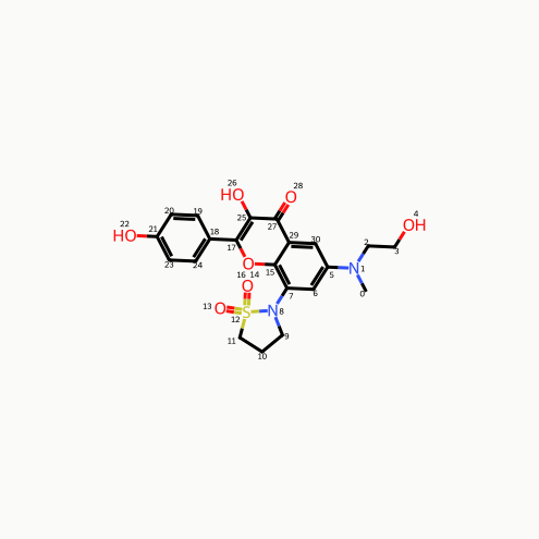 CN(CCO)c1cc(N2CCCS2(=O)=O)c2oc(-c3ccc(O)cc3)c(O)c(=O)c2c1